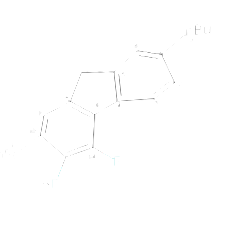 CCCCc1ccc2c(c1)Cc1cc(CCC)c(F)c(F)c1-2